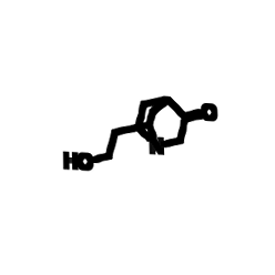 O=C1CN2CCC1CC2CCO